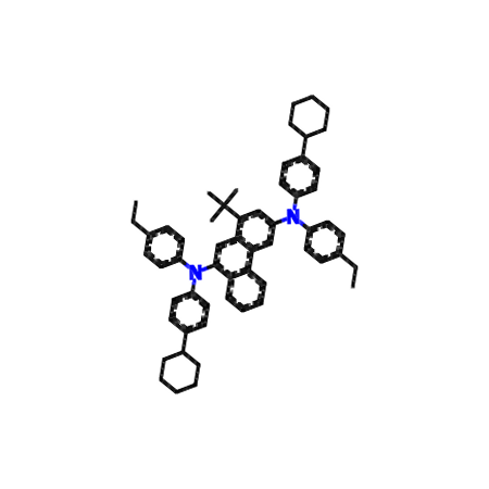 CCc1ccc(N(c2ccc(C3CCCCC3)cc2)c2cc(C(C)(C)C)c3cc(N(c4ccc(CC)cc4)c4ccc(C5CCCCC5)cc4)c4ccccc4c3c2)cc1